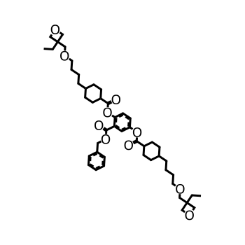 CCC1(COCCCCC2CCC(C(=O)Oc3ccc(OC(=O)C4CCC(CCCCOCC5(CC)COC5)CC4)c(C(=O)OCc4ccccc4)c3)CC2)COC1